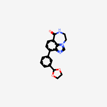 O=C1NCCn2cnc3c(-c4cccc(C5OCCO5)c4)ccc1c32